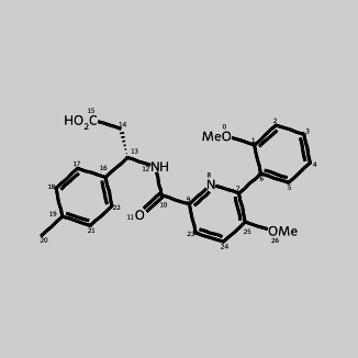 COc1ccccc1-c1nc(C(=O)N[C@@H](CC(=O)O)c2ccc(C)cc2)ccc1OC